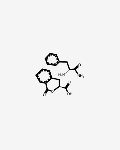 NC(=O)[C@H](N)Cc1ccccc1.O=C1O[C@H](C(=O)O)Cc2ccccc21